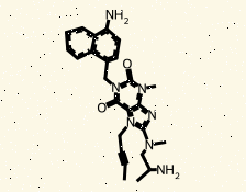 CC#CCn1c(N(C)CC(C)N)nc2c1c(=O)n(Cc1ccc(N)c3ccccc13)c(=O)n2C